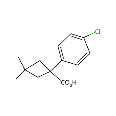 CC1(C)CC(C(=O)O)(c2ccc(Cl)cc2)C1